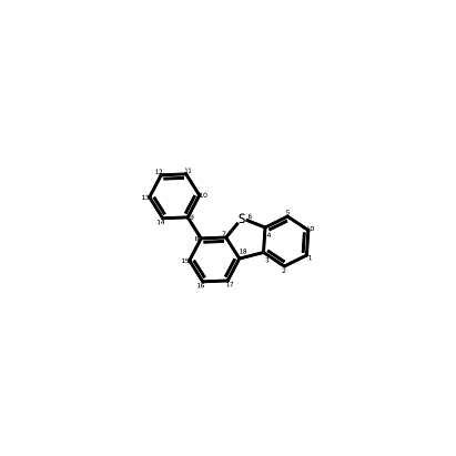 [c]1ccc2c(c1)sc1c(-c3ccccc3)cccc12